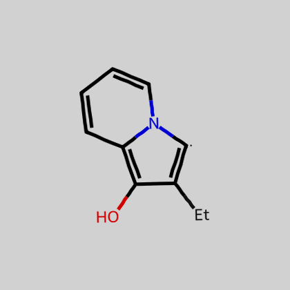 CCc1[c]n2ccccc2c1O